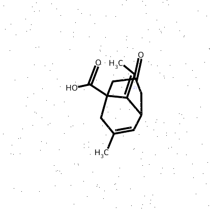 C/C=C1/C2C=C(C)CC1(C(=O)O)CC(=O)C2